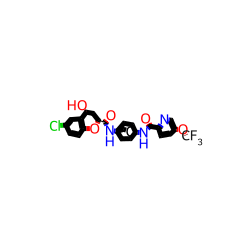 O=C(NC12CCC(NC(=O)[C@H]3C[C@@H](O)c4cc(Cl)ccc4O3)(CC1)CC2)c1ccc(OC(F)(F)F)cn1